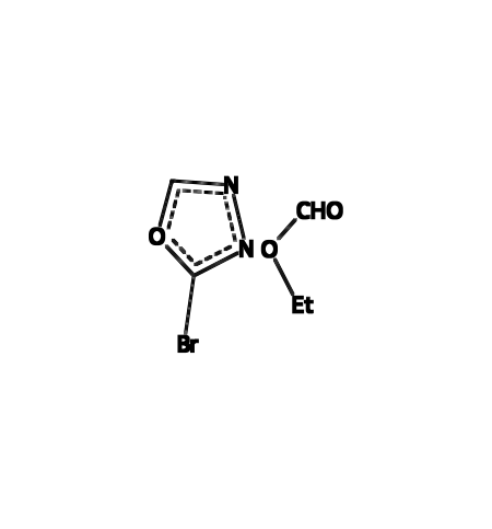 Brc1nnco1.CCOC=O